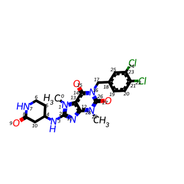 Cn1c(NC2CCNC(=O)C2)nc2c1c(=O)n(Cc1ccc(Cl)c(Cl)c1)c(=O)n2C